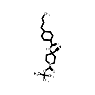 CCCCC1CCC(C(=O)NC2(C#N)CCN(C(=O)OC(C)(C)C)CC2)CC1